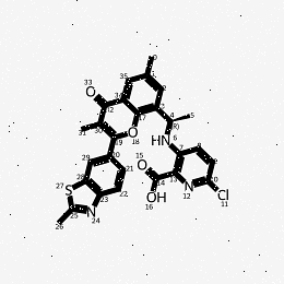 Cc1cc([C@@H](C)Nc2ccc(Cl)nc2C(=O)O)c2oc(-c3ccc4nc(C)sc4c3)c(C)c(=O)c2c1